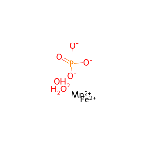 O.O.O=P([O-])([O-])[O-].[Fe+2].[Mn+2]